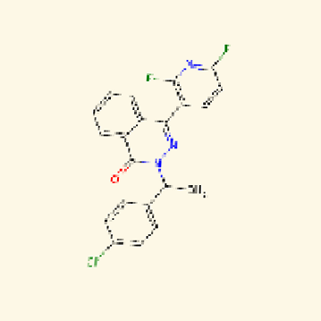 BC(c1ccc(Cl)cc1)n1nc(-c2ccc(F)nc2F)c2ccccc2c1=O